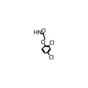 Clc1ccc(OC[C]2NO2)c(Cl)c1